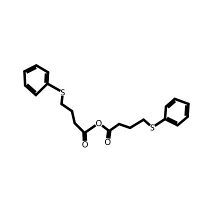 O=C(CCCSc1ccccc1)OC(=O)CCCSc1ccccc1